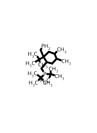 CC1CC(CP(C(C)(C)C)C(C)(C)C)C(CP)(C(C)(C)C)CC1C